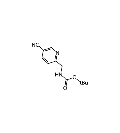 CC(C)(C)OC(=O)NCc1ccc(C#N)cn1